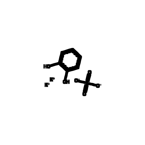 O=S(=O)([O-])[O-].Oc1ccccc1O.[K+].[K+]